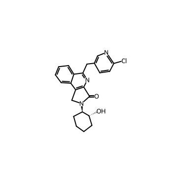 O=C1c2nc(Cc3ccc(Cl)nc3)c3ccccc3c2CN1[C@@H]1CCCC[C@H]1O